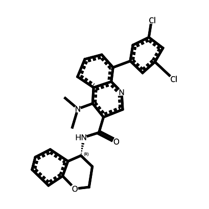 CN(C)c1c(C(=O)N[C@@H]2CCOc3ccccc32)cnc2c(-c3cc(Cl)cc(Cl)c3)cccc12